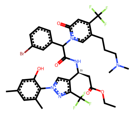 CCOC(=O)C[C@H](NC(=O)C(c1cccc(Br)c1)n1cc(CCCN(C)C)c(C(F)(F)F)cc1=O)c1cn(-c2c(C)cc(C)cc2O)nc1C(F)(F)F